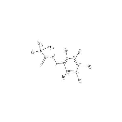 CCC(C)(C)C(=O)OCc1c(Br)c(Br)c(Br)c(Br)c1Br